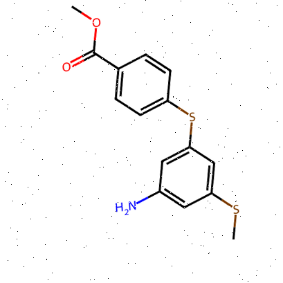 COC(=O)c1ccc(Sc2cc(N)cc(SC)c2)cc1